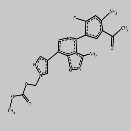 COC(=O)OCn1cc(-c2cnc(-c3cc(C(C)=O)c(N)cc3F)c3c(N)noc23)cn1